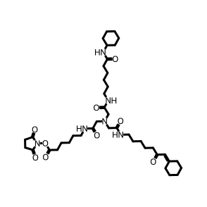 O=C(C=C1CCCCC1)CCCCCNC(=O)CN(CC(=O)NCCCCCC(=O)NC1CCCCC1)CC(=O)NCCCCCC(=O)ON1C(=O)CCC1=O